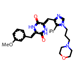 COc1cccc(/C=c2\[nH]c(=O)/c(=C/c3ncn(CCCN4CCOCC4)c3C(C)C)[nH]c2=O)c1